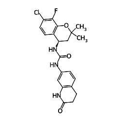 CC1(C)C[C@@H](NC(=O)Nc2ccc3c(c2)NC(=O)CC3)c2ccc(Cl)c(F)c2O1